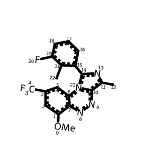 COc1cc(C(F)(F)F)cc2c1nnc1c(C)nc(-c3cccc(F)c3C)n12